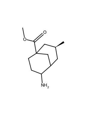 COC(=O)C12CCC(N)C(C[C@H](C)C1)C2